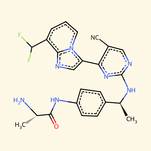 C[C@H](N)C(=O)Nc1ccc([C@H](C)Nc2ncc(C#N)c(-c3cnc4c(C(F)F)cccn34)n2)cc1